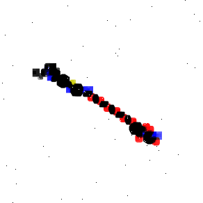 CN(C)c1ccc(-c2ccc(-c3nc4ccc(NCCOCCOCCOCCOCCOCCOc5ccc6c(c5)C(=O)N(C5CCC(=O)NC5=O)C6=O)cc4s3)cc2)cn1